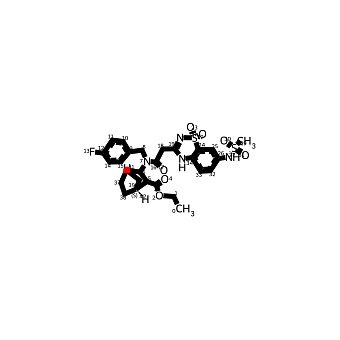 CCOC(=O)C1C(N(Cc2ccc(F)cc2)C(=O)CC2=NS(=O)(=O)c3cc(NS(C)(=O)=O)ccc3N2)[C@@H]2CC[C@H]1C2